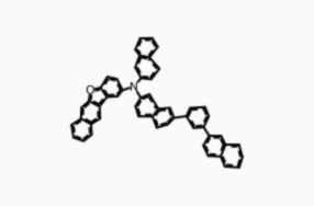 c1cc(-c2ccc3ccccc3c2)cc(-c2ccc3ccc(N(c4ccc5ccccc5c4)c4ccc5oc6cc7ccccc7cc6c5c4)cc3c2)c1